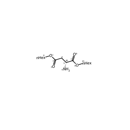 CCCCCCOC(=O)C[C@@H](N)C(=O)OCCCCCC